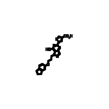 O=C(O)c1cnn(-c2nc(O)c3c(cnn3CCCOc3ccc4c(c3)CCC4)n2)c1